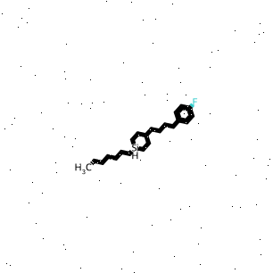 CCCCCCC[SiH]1CCC(CCCCc2ccc(F)cc2)CC1